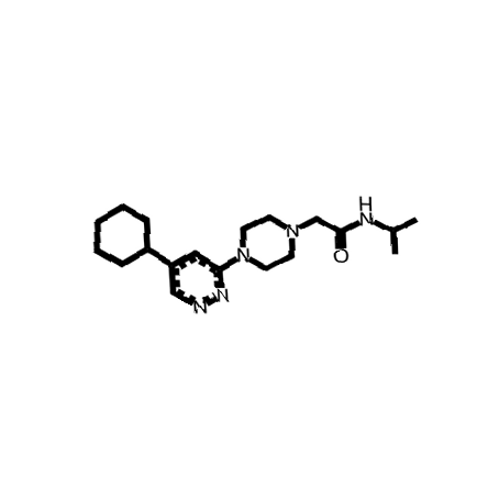 CC(C)NC(=O)CN1CCN(c2cc(C3CCCCC3)cnn2)CC1